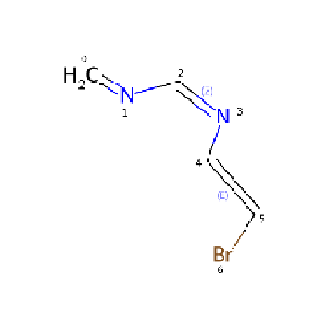 C=N/C=N\C=C\Br